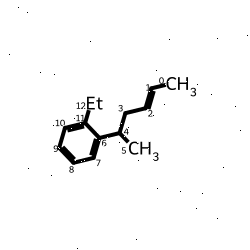 C/C=C/CC(C)c1ccccc1CC